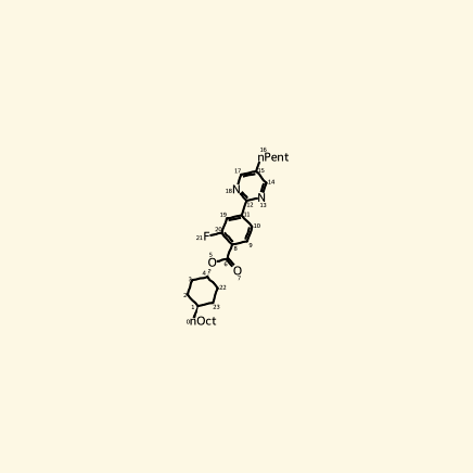 CCCCCCCC[C@H]1CC[C@H](OC(=O)c2ccc(-c3ncc(CCCCC)cn3)cc2F)CC1